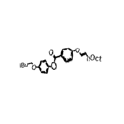 CCCCCCCCC=COc1ccc(C(=O)Oc2ccc(OCC(C)CC)cc2)cc1